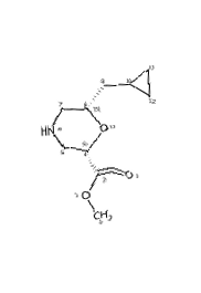 COC(=O)[C@@H]1CNC[C@H](CC2CC2)O1